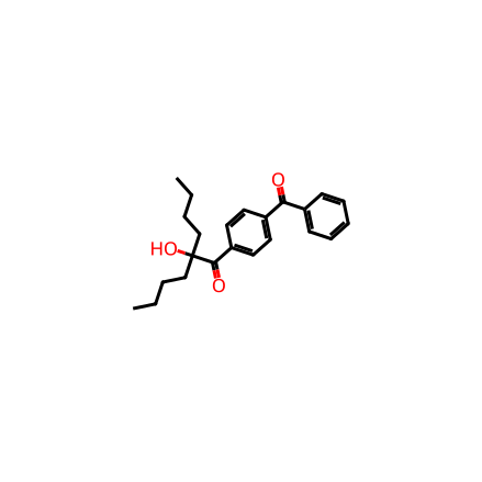 CCCCC(O)(CCCC)C(=O)c1ccc(C(=O)c2ccccc2)cc1